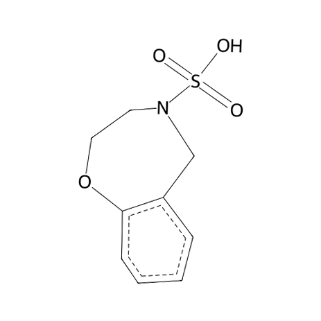 O=S(=O)(O)N1CCOc2ccccc2C1